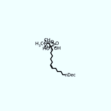 CCCCCCCCCCCCCC/C=C\CCCCCC(O)(C[N+](C)(C)C)P(=O)(O)O